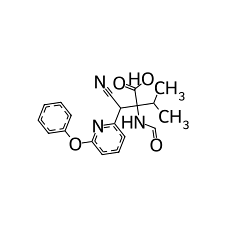 CC(C)C(NC=O)(C(=O)O)C(C#N)c1cccc(Oc2ccccc2)n1